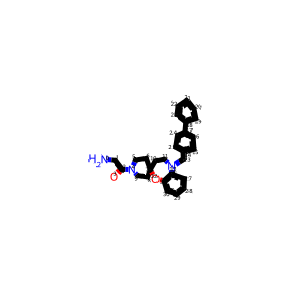 NCC(=O)N1CCC2(CC1)CCN(Cc1ccc(-c3ccccc3)cc1)c1ccccc1O2